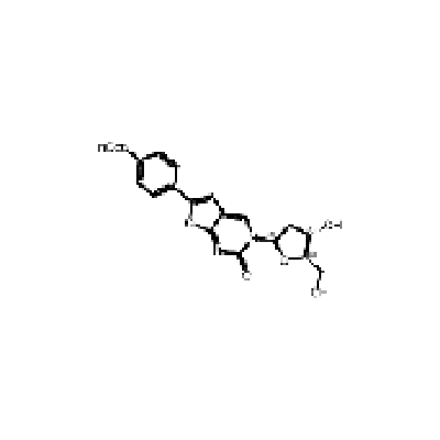 CCCCCCCCc1ccc(-c2cc3cn([C@H]4C[C@H](O)[C@@H](CO)O4)c(=O)nc3o2)cc1